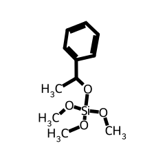 CO[Si](OC)(OC)OC(C)c1ccccc1